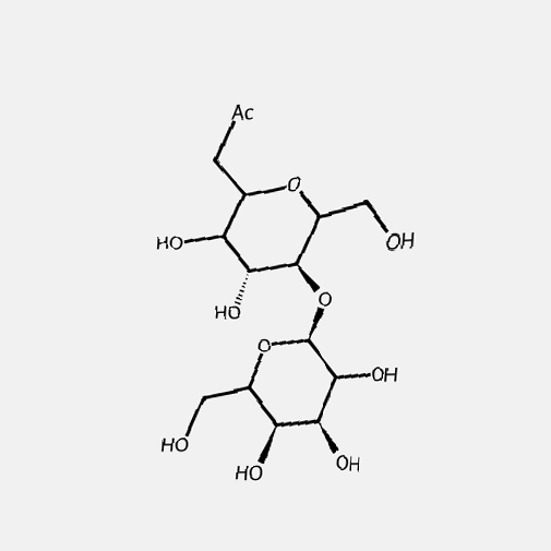 CC(=O)CC1OC(CO)[C@@H](O[C@@H]2OC(CO)[C@H](O)[C@H](O)C2O)[C@H](O)C1O